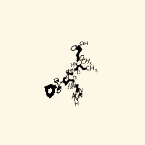 CC[C@H](C)[C@H](NC(=O)CCC(=O)O)C(=O)NCC(=O)N1C[C@H](S(=O)(=O)c2ccccc2)CC1C(=O)NCc1nn[nH]n1